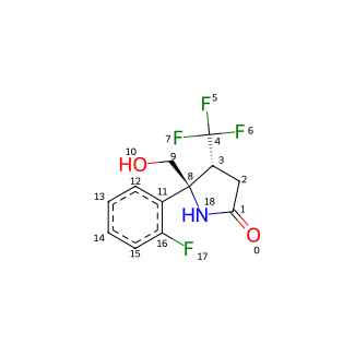 O=C1C[C@@H](C(F)(F)F)[C@@](CO)(c2ccccc2F)N1